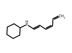 C=C/C=C\C=C\PC1CCCCC1